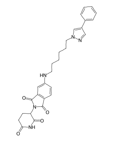 O=C1CCC(N2C(=O)c3ccc(NCCCCCCn4cc(-c5ccccc5)cn4)cc3C2=O)C(=O)N1